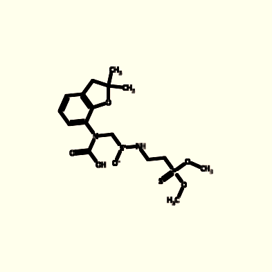 COP(=S)(CCN[S+]([O-])CN(C(=O)O)c1cccc2c1OC(C)(C)C2)OC